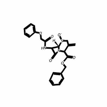 C=C1C[S+]([O-])[C@H]2C(NC(=O)COc3ccccc3)C(=O)N2C1C(=O)OCc1ccccc1